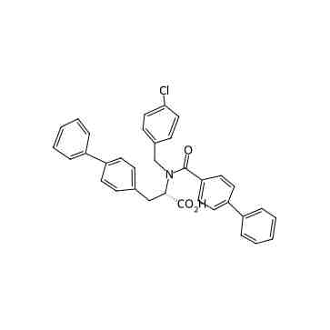 O=C(O)[C@H](Cc1ccc(-c2ccccc2)cc1)N(Cc1ccc(Cl)cc1)C(=O)c1ccc(-c2ccccc2)cc1